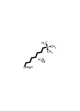 CCCCCCCCCCCCCC[N+](C)(C)C.I.N